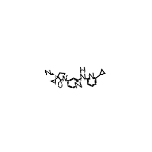 N#C[C@@]1(C2CC2)CCN(c2ccnc(Nc3cccc(C4CC4)n3)c2)C1=O